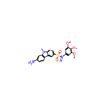 COc1cc(NS(=O)(=O)c2ccc3c(c2)c2ccc(N)cc2n3C)cc(OC)c1OC